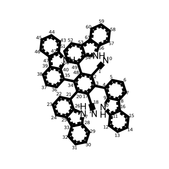 N#Cc1c(-c2cccc3c2[nH]c2ccccc23)c(C#N)c(-c2cccc3c2[nH]c2ccccc23)c(-c2cccc3c2[nH]c2ccccc23)c1-c1cccc2c1[nH]c1ccccc12